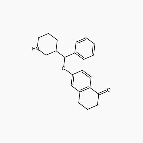 O=C1CCCc2cc(OC(c3ccccc3)C3CCCNC3)ccc21